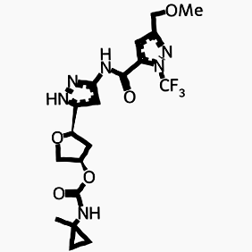 COCc1cc(C(=O)Nc2cc([C@H]3C[C@@H](OC(=O)NC4(C)CC4)CO3)[nH]n2)n(C(F)(F)F)n1